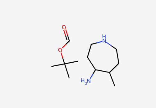 CC(C)(C)OC=O.CC1CCNCCC1N